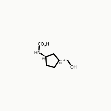 O=C(O)N[C@@H]1CC[C@@H](CO)C1